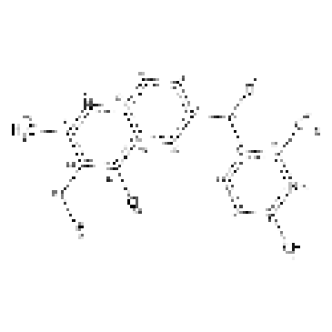 Cc1ccc(C(O)c2ccc3nc(C)c(CC(C)C)c(Cl)c3c2)c(C)n1